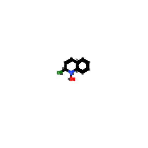 ON1c2ccccc2C=CC1Cl